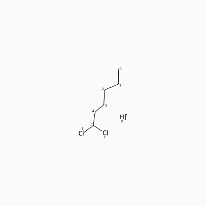 CCCCCC(Cl)Cl.[Hf]